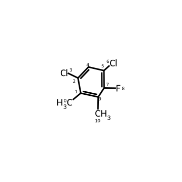 Cc1c(Cl)cc(Cl)c(F)c1C